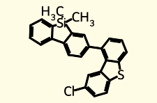 C[Si]1(C)c2ccccc2-c2ccc(-c3cccc4sc5ccc(Cl)cc5c34)cc21